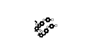 CC1(C)CCC(Cc2ccc(Oc3ccc(Cl)cc3)cc2)C1=O.CCOC(=O)C1(Cc2ccc(Oc3ccc(Cl)cc3)cc2)CCC(C)(C)C1=O